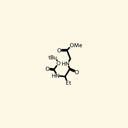 CCC(NC(=O)OC(C)(C)C)C(=O)NCC(=O)OC